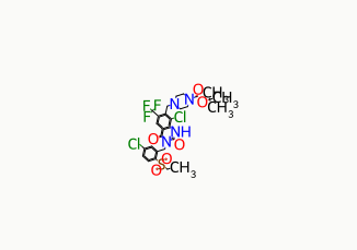 CCS(=O)(=O)c1ccc(Cl)cc1Cn1c(=O)[nH]c2c(Cl)c(CN3CCN(C(=O)OC(C)(C)C)CC3)c(C(F)(F)F)cc2c1=O